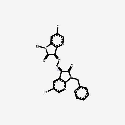 CCN1C(=O)C(=N/N=C2\C(=O)N(Cc3ccccc3)c3ncc(Br)cc32)c2ncc(Cl)cc21